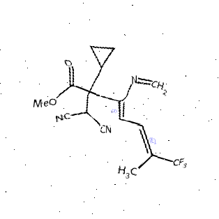 C=N/C(=C\C=C(/C)C(F)(F)F)C(C(=O)OC)(C(C#N)C#N)C1CC1